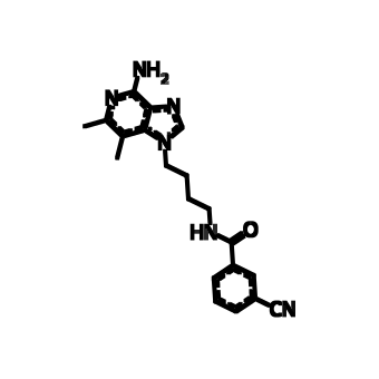 Cc1nc(N)c2ncn(CCCCNC(=O)c3cccc(C#N)c3)c2c1C